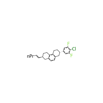 CCCC=C[C@H]1CCc2c(ccc3c2CC[C@H](c2cc(F)c(Cl)c(F)c2)C3)C1